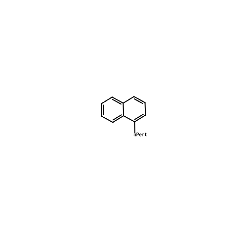 CCCCCc1cccc2ccccc12